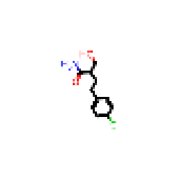 NC(=O)C(CO)CCc1ccc(Cl)cc1